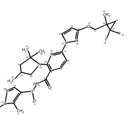 Cc1c([S+]([O-])NC(=O)c2ccc(-n3ccc(OCC4(C)CC4(F)F)n3)nc2N2CC(C)CC2(C)C)cnn1C